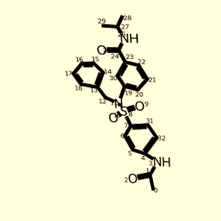 CC(=O)Nc1ccc(S(=O)(=O)N(Cc2ccccc2)c2cccc(C(=O)NC(C)C)c2)cc1